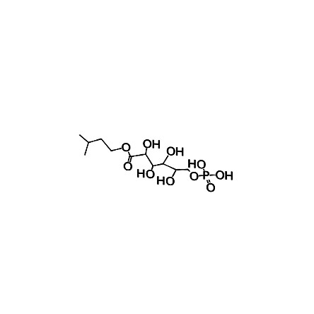 CC(C)CCOC(=O)C(O)C(O)C(O)C(O)COP(=O)(O)O